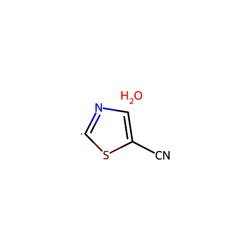 N#Cc1cn[c]s1.O